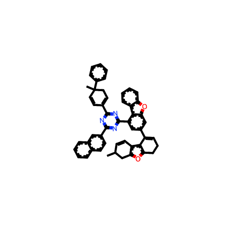 CC1C=Cc2c(oc3c2C(c2cc(-c4nc(C5=CCC(C)(c6ccccc6)C=C5)nc(-c5ccc6ccccc6c5)n4)c4c(c2)oc2ccccc24)=CCC3)C1